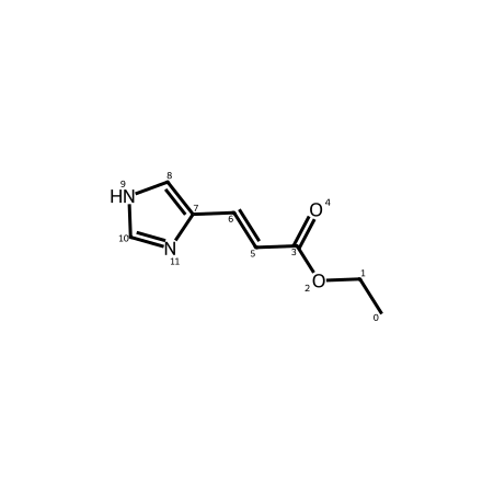 CCOC(=O)C=Cc1c[nH]cn1